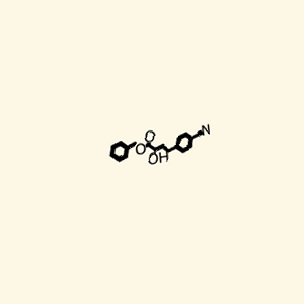 N#Cc1ccc(CC[C@@H](O)C(=O)OCc2ccccc2)cc1